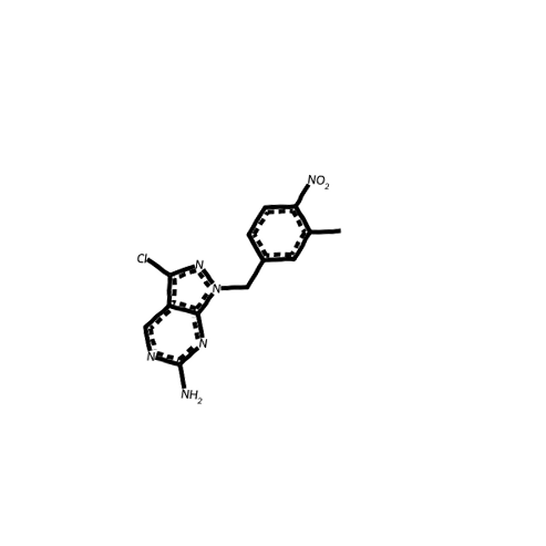 Cc1cc(Cn2nc(Cl)c3cnc(N)nc32)ccc1[N+](=O)[O-]